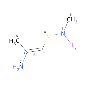 C/C(N)=C\SN(C)I